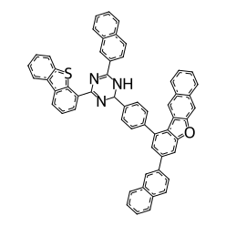 c1ccc2cc(C3=NC(c4cccc5c4sc4ccccc45)=NC(c4ccc(-c5cc(-c6ccc7ccccc7c6)cc6oc7cc8ccccc8cc7c56)cc4)N3)ccc2c1